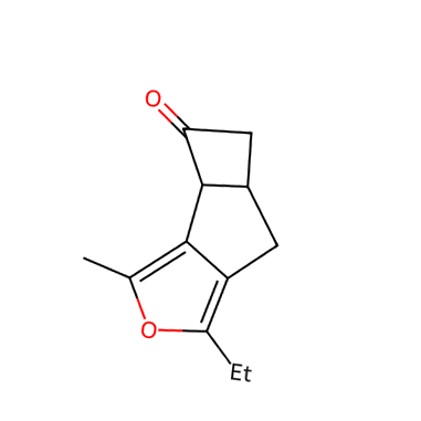 CCc1oc(C)c2c1CC1CC(=O)C21